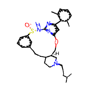 Cc1cccc(C)c1-c1cc2nc(n1)N[S+]([O-])c1cccc(c1)CCC1CCN(CCC(C)C)C[C@@H]1CO2